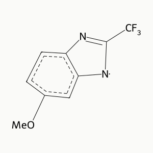 COc1ccc2c(c1)[N]C(C(F)(F)F)=N2